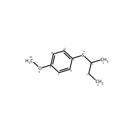 CCC(C)Sc1ccc(OC)cc1